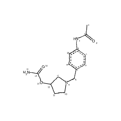 CC(=O)Nc1ccc(CN2CCC(OC(N)=O)C2)cc1